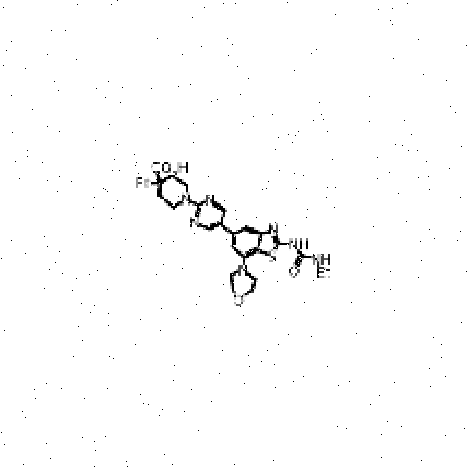 CCNC(=O)Nc1nc2cc(-c3cnc(N4CCC(CC)(C(=O)O)CC4)nc3)cc(N3CCOCC3)c2s1